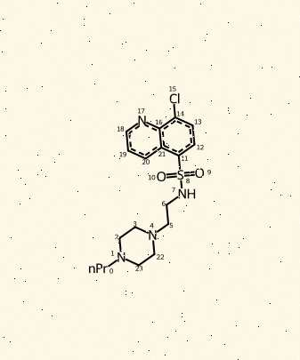 CCCN1CCN(CCNS(=O)(=O)c2ccc(Cl)c3ncccc23)CC1